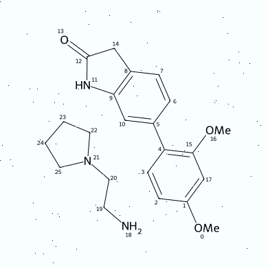 COc1ccc(-c2ccc3c(c2)NC(=O)C3)c(OC)c1.NCCN1CCCC1